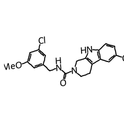 COc1cc(Cl)cc(CNC(=O)N2CCc3c([nH]c4ccc(Cl)cc34)C2)c1